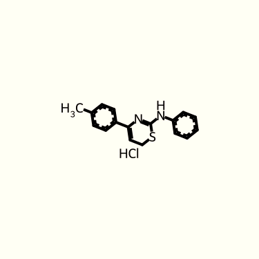 Cc1ccc(C2=CCSC(Nc3ccccc3)=N2)cc1.Cl